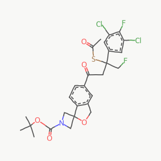 CC(=O)SC(CF)(CC(=O)c1ccc2c(c1)COC21CN(C(=O)OC(C)(C)C)C1)c1cc(Cl)c(F)c(Cl)c1